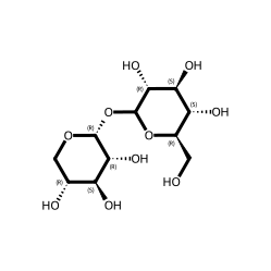 OC[C@H]1OC(O[C@H]2OC[C@@H](O)[C@H](O)[C@H]2O)[C@H](O)[C@@H](O)[C@@H]1O